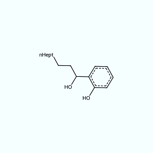 CCCCCCCCCC(O)c1ccccc1O